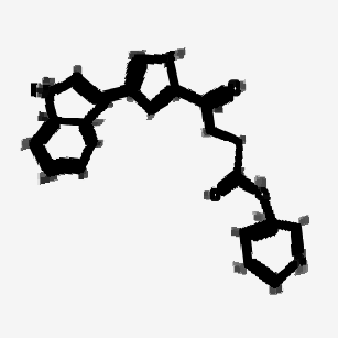 O=C(CCC(=O)c1cc(-c2c[nH]c3ccccc23)cs1)Oc1cccnc1